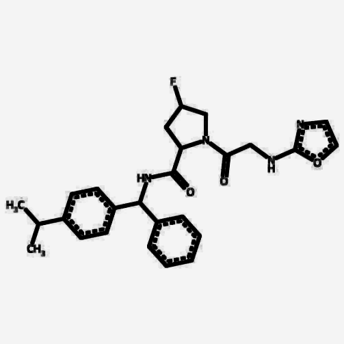 CC(C)c1ccc(C(NC(=O)C2CC(F)CN2C(=O)CNc2ncco2)c2ccccc2)cc1